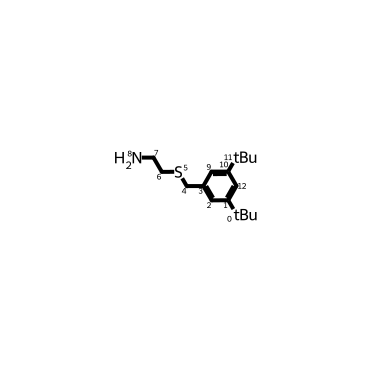 CC(C)(C)c1cc(CSCCN)cc(C(C)(C)C)c1